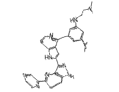 CN(C)CCNc1cc(F)cc(-c2nccc3[nH]c(-c4n[nH]c5ccc(-c6cnccn6)nc45)cc23)c1